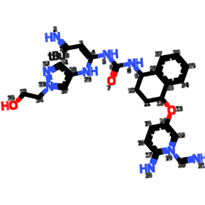 CC(C)(C)C(=N)/C=C(/NC(=O)NC1CCC(Oc2ccc(=N)n(C=N)c2)c2ccccc21)Nc1cnn(CCO)c1